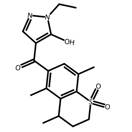 CCn1ncc(C(=O)c2cc(C)c3c(c2C)C(C)CCS3(=O)=O)c1O